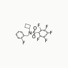 O=S(=O)(c1c(F)c(F)c(F)c(F)c1F)N(Cc1ccccc1F)C1CCC1